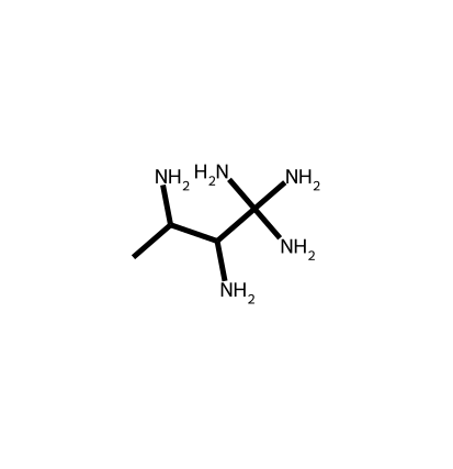 CC(N)C(N)C(N)(N)N